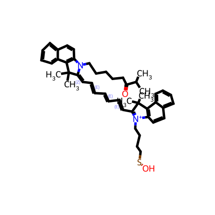 CC(C)C(=O)CCCCCN1\C(=C/C=C/C=C/C=C/C2=[N+](CCCCSO)c3ccc4ccccc4c3C2(C)C)C(C)(C)c2c1ccc1ccccc21